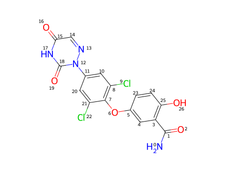 NC(=O)c1cc(Oc2c(Cl)cc(-n3ncc(=O)[nH]c3=O)cc2Cl)ccc1O